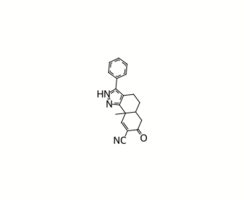 CC12C=C(C#N)C(=O)CC1CCc1c2n[nH]c1-c1ccccc1